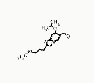 COCCCc1cn2cc(C=O)c(OC(C)C)cc2n1